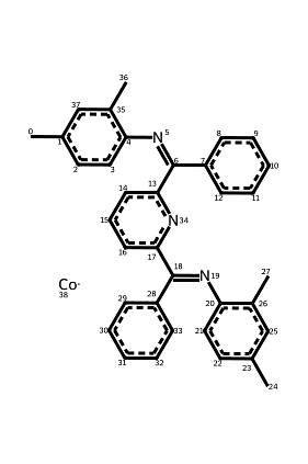 Cc1ccc(N=C(c2ccccc2)c2cccc(C(=Nc3ccc(C)cc3C)c3ccccc3)n2)c(C)c1.[Co]